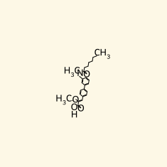 CCCCCCCC(=O)N(C)Cc1cccc(-c2ccc(C=C(OCC)C(=O)O)cc2)c1